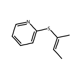 CC=C(C)Sc1ccccn1